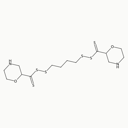 S=C(SSCCCCSSC(=S)C1CNCCO1)C1CNCCO1